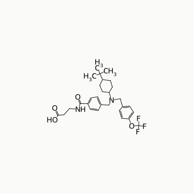 CC(C)(C)C1CCC(N(Cc2ccc(OC(F)(F)F)cc2)Cc2ccc(C(=O)NCCC(=O)O)cc2)CC1